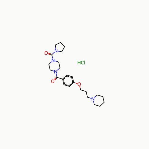 Cl.O=C(c1ccc(OCCCN2CCCCC2)cc1)N1CCN(C(=O)N2CCCC2)CC1